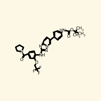 CC(C)(C)OC(=O)Nc1ccc(-c2ccc3nc(Nc4ccc(C(=O)N5CCCC5)cc4OCC(F)(F)F)nn3c2)cc1